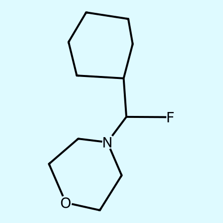 FC(C1CCCCC1)N1CCOCC1